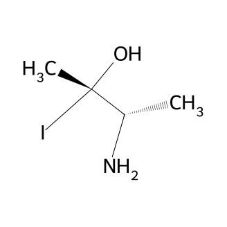 C[C@H](N)[C@@](C)(O)I